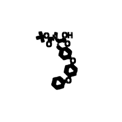 CN(C(=O)OC(C)(C)C)[C@@H](Cc1ccc(Oc2ccc(Oc3ccccc3)cc2)cc1)C(=O)O